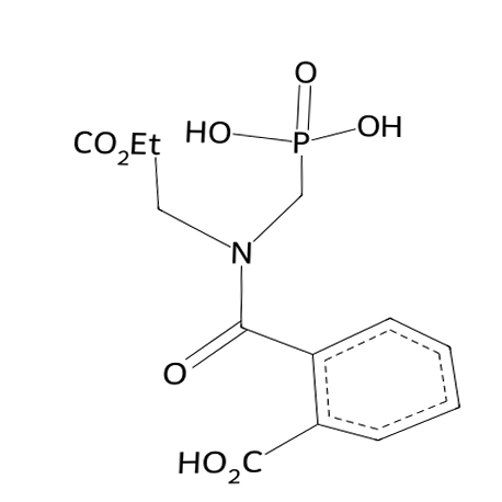 CCOC(=O)CN(CP(=O)(O)O)C(=O)c1ccccc1C(=O)O